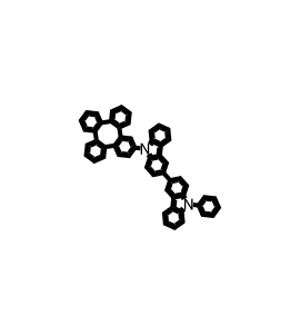 c1ccc(-n2c3ccccc3c3cc(-c4ccc5c(c4)c4ccccc4n5-c4ccc5c(c4)-c4ccccc4-c4ccccc4-c4ccccc4-5)ccc32)cc1